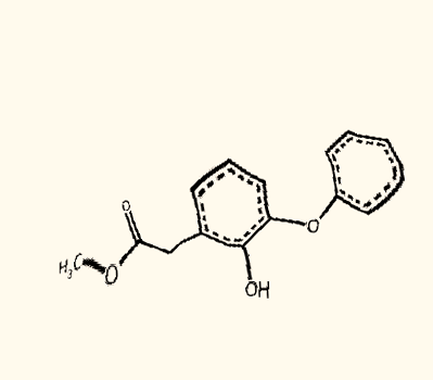 COC(=O)Cc1cccc(Oc2ccccc2)c1O